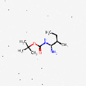 CCC(C)C(N)NC(=O)OC(C)(C)C